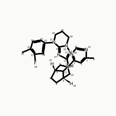 Cc1cc(N2C[C@H]3CC[C@@H](C2)C3Nc2nc3n(n2)CCCN3c2ccc(C)c(F)c2)ncn1